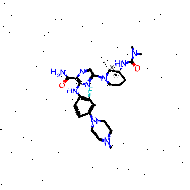 C[C@@H]1[C@H](NC(=O)N(C)C)CCCN1c1cnc(C(N)=O)c(Nc2ccc(N3CCN(C)CC3)cc2F)n1